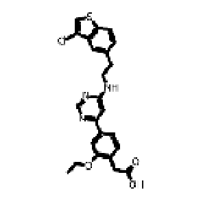 CCOc1cc(-c2cc(NCCc3ccc4scc(Cl)c4c3)ncn2)ccc1CC(=O)O